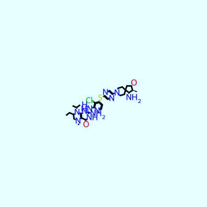 CCC1CN(C)C2=C(N[C@](N)(Nc3nccc(Sc4cnc(N5CCC6(CC5)CC(=O)[C@@H](C)[C@@H]6N)cn4)c3Cl)NC2=O)N1C(C)C